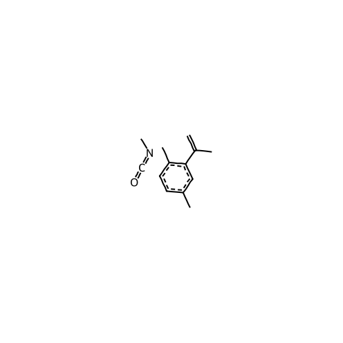 C=C(C)c1cc(C)ccc1C.CN=C=O